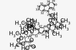 CC(=O)O[C@@H]1[C@@H](OC(C)=O)[C@H](CCc2cc(NC(=O)C(C)NC(=O)C(NC(=O)OCC3c4ccccc4-c4ccccc43)C(C)C)ccc2CO[Si](C)(C)C(C)(C)C)O[C@H](C(=O)O)[C@H]1OC(C)=O